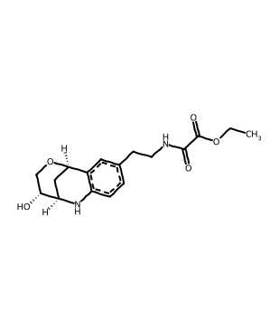 CCOC(=O)C(=O)NCCc1ccc2c(c1)[C@H]1C[C@@H](N2)[C@H](O)CO1